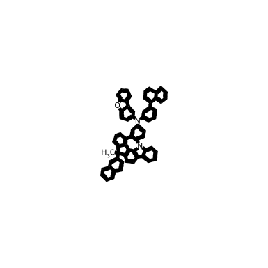 CC1(c2ccc3ccccc3c2)c2cccc3c2-c2c1ccc1c4ccccc4n(c21)-c1ccc(N(c2cccc(-c4cccc5ccccc45)c2)c2ccc4oc5ccccc5c4c2)cc1-3